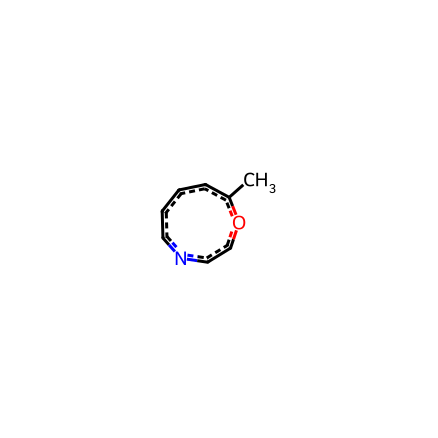 Cc1ccccncco1